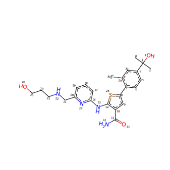 CC(C)(O)c1ccc(-c2cc(C(N)=O)c(Nc3cccc(CNCCCO)n3)s2)c(F)c1